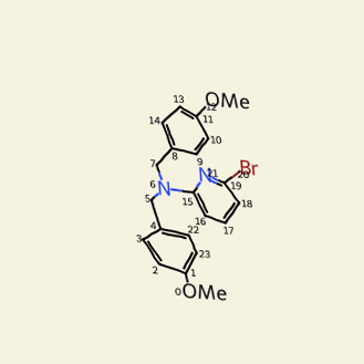 COc1ccc(CN(Cc2ccc(OC)cc2)c2cccc(Br)n2)cc1